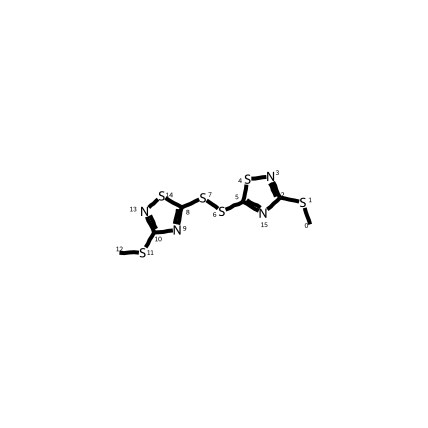 CSc1nsc(SSc2nc(SC)ns2)n1